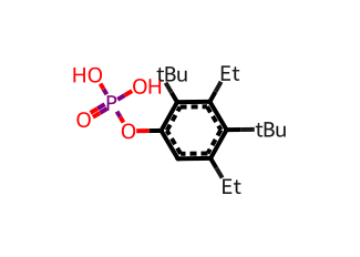 CCc1cc(OP(=O)(O)O)c(C(C)(C)C)c(CC)c1C(C)(C)C